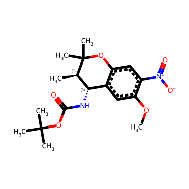 COc1cc2c(cc1[N+](=O)[O-])OC(C)(C)[C@H](C)[C@H]2NC(=O)OC(C)(C)C